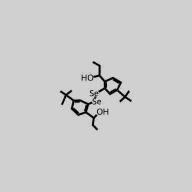 CCC(O)c1ccc(C(C)(C)C)cc1[Se][Se]c1cc(C(C)(C)C)ccc1C(O)CC